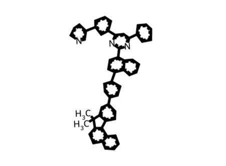 CC1(C)c2cc(-c3ccc(-c4ccc(-c5nc(-c6ccccc6)cc(-c6cccc(-c7cccnc7)c6)n5)c5ccccc45)cc3)ccc2-c2c1ccc1ccccc21